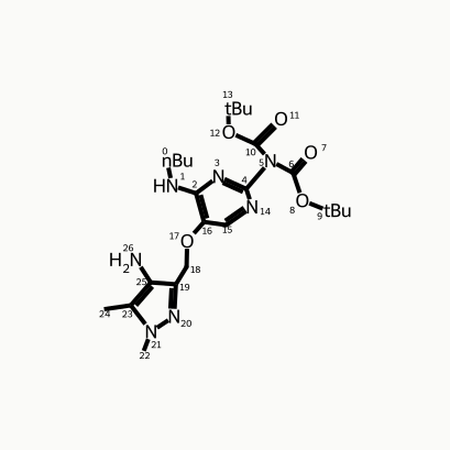 CCCCNc1nc(N(C(=O)OC(C)(C)C)C(=O)OC(C)(C)C)ncc1OCc1nn(C)c(C)c1N